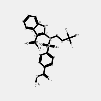 COC(=O)c1ccc(S(=O)(=O)N(CCC(F)(F)F)c2sc3ccccc3c2C(C)=O)cc1